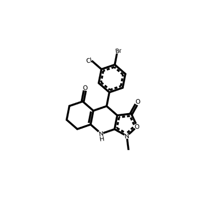 Cn1oc(=O)c2c1NC1=C(C(=O)CCC1)C2c1ccc(Br)c(Cl)c1